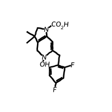 CC1(C)CN(C(=O)O)C2=C1CN(O)C(Cc1ccc(F)cc1F)=C2